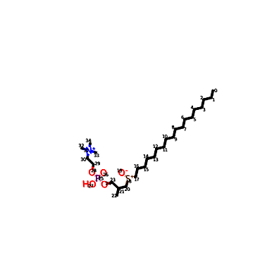 CCCCCCCCCCCCCCCCCC[S+]([O-])CC(C)COP(=O)(O)OCC[N+](C)(C)C